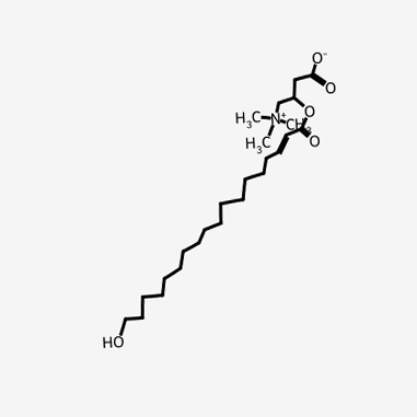 C[N+](C)(C)CC(CC(=O)[O-])OC(=O)C=CCCCCCCCCCCCCCCCO